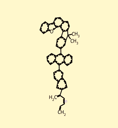 C=C/C=C\C(=C)c1ccc2cc(-c3c4ccccc4c(-c4ccc5c(c4)C(C)(C)c4ccc6ccc7c8ccccc8oc7c6c4-5)c4ccccc34)ccc2c1